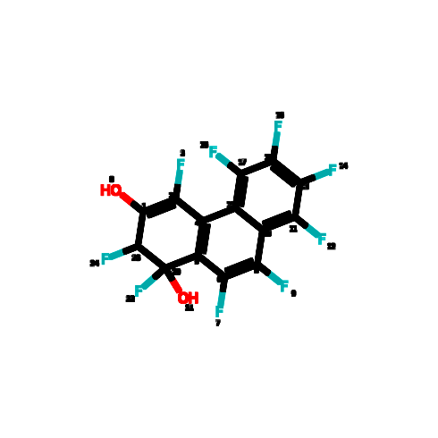 OC1=C(F)c2c(c(F)c(F)c3c(F)c(F)c(F)c(F)c23)C(O)(F)C1F